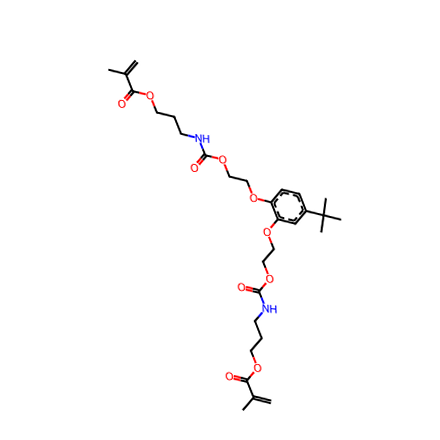 C=C(C)C(=O)OCCCNC(=O)OCCOc1ccc(C(C)(C)C)cc1OCCOC(=O)NCCCOC(=O)C(=C)C